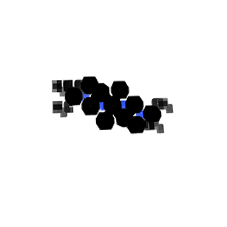 Cc1cccc(N(c2ccccc2C)c2cccc3c2c2cccc4c5c(-c6ccccc6)c6c(c(-c7ccccc7)c5n3c24)c2cccc3c4c(N(c5cc(C)cc(C)c5)c5ccccc5C)cccc4n6c32)c1